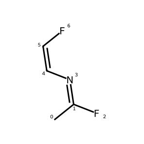 C/C(F)=N\C=C/F